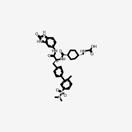 Cc1ccc(S(=O)(=O)N(C)C)cc1-c1ccc(C[C@H](NC(=O)[C@H]2CC[C@H](CNC(=O)O)CC2)C(=O)Nc2ccc3[nH]c(=O)[nH]c3c2)cc1